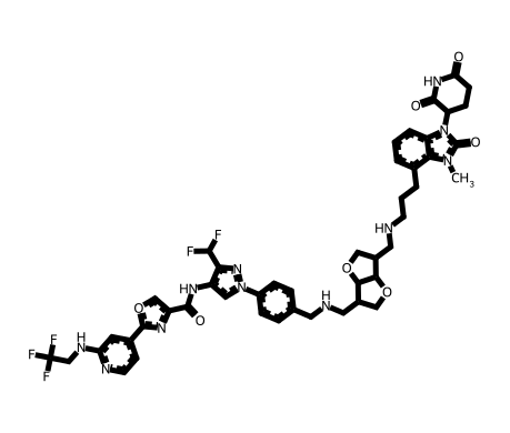 Cn1c(=O)n(C2CCC(=O)NC2=O)c2cccc(CCCNCC3COC4C(CNCc5ccc(-n6cc(NC(=O)c7coc(-c8ccnc(NCC(F)(F)F)c8)n7)c(C(F)F)n6)cc5)COC34)c21